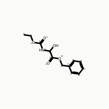 CCOC(=O)NC(O)C(=O)OCc1ccccc1